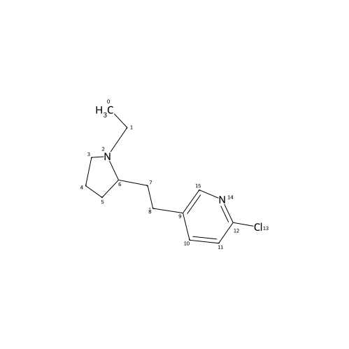 CCN1CCCC1C[CH]c1ccc(Cl)nc1